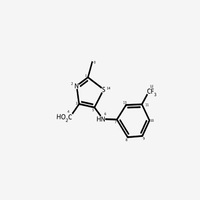 Cc1nc(C(=O)O)c(Nc2cccc(C(F)(F)F)c2)s1